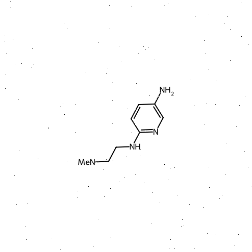 CNCCNc1ccc(N)cn1